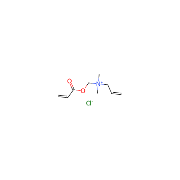 C=CC[N+](C)(C)COC(=O)C=C.[Cl-]